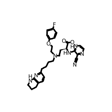 N#Cc1nccnc1N[C@@H](CCN(CCCCc1ccc2c(n1)NCCC2)CCOc1ccc(F)cc1)C(=O)O